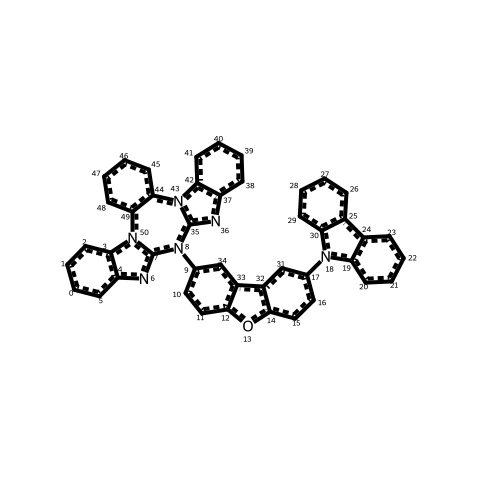 c1ccc2c(c1)nc1n(-c3ccc4oc5ccc(-n6c7ccccc7c7ccccc76)cc5c4c3)c3nc4ccccc4n3c3ccccc3n21